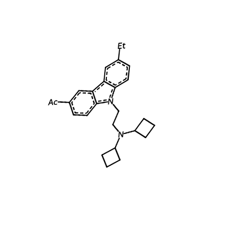 CCc1ccc2c(c1)c1cc(C(C)=O)ccc1n2CCN(C1CCC1)C1CCC1